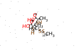 CC(S)C(=O)O.CC(S)C(=O)O.CCSSCC